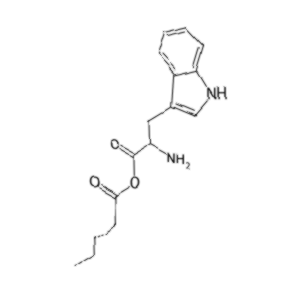 CCCCC(=O)OC(=O)C(N)Cc1c[nH]c2ccccc12